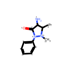 CC(C)C1C(N)C(=O)N(c2ccccc2)N1C